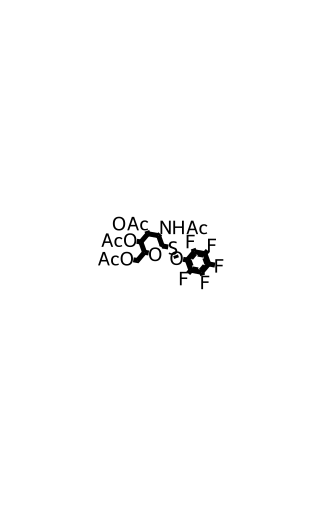 CC(=O)NC1C(SOc2c(F)c(F)c(F)c(F)c2F)OC(COC(C)=O)C(OC(C)=O)C1OC(C)=O